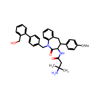 COc1ccc(C2Cc3ccccc3N(Cc3ccc(-c4ccccc4CO)cc3)C(=O)C2NC(=O)CC(C)(C)N)cc1